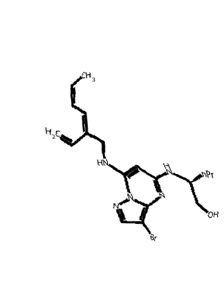 C=C/C(=C\C=C/C)CNc1cc(N[C@H](CO)CCC)nc2c(Br)cnn12